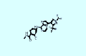 CNC(=O)c1ccc(Nc2nccn3c(-c4cn(C(F)F)nc4C(F)(F)F)cnc23)cc1Cl